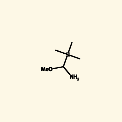 COC(N)[Si](C)(C)C